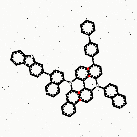 c1ccc(-c2ccc(-c3ccc(N(c4ccc5ccccc5c4)c4ccccc4-c4ccccc4N(c4ccc5ccccc5c4)c4ccc(-c5ccc6c(c5)sc5ccccc56)c5ccccc45)cc3)cc2)cc1